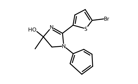 CC1(O)CN(c2ccccc2)C(c2ccc(Br)s2)=N1